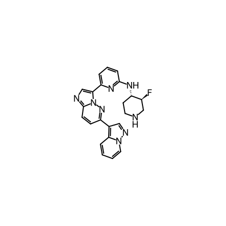 F[C@H]1CNCC[C@@H]1Nc1cccc(-c2cnc3ccc(-c4cnn5ccccc45)nn23)n1